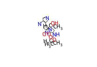 CC(C)(C)OC(=O)N[C@H]1C[C@@H](C(C)(C)O)N(c2cc(-c3cnccc3C#N)ccc2[N+](=O)[O-])C1